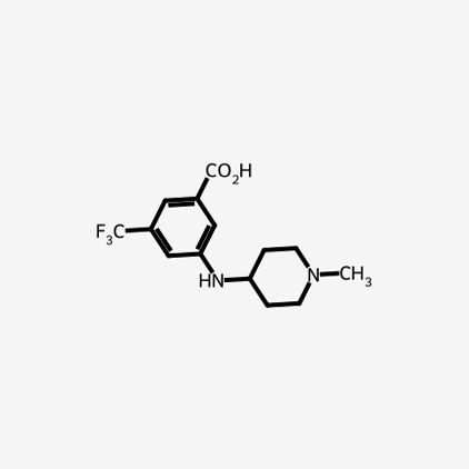 CN1CCC(Nc2cc(C(=O)O)cc(C(F)(F)F)c2)CC1